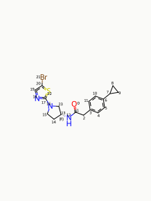 O=C(Cc1ccc(C2CC2)cc1)N[C@@H]1CCN(c2ncc(Br)s2)C1